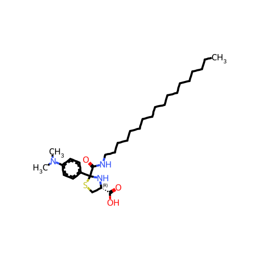 CCCCCCCCCCCCCCCCCCNC(=O)C1(c2ccc(N(C)C)cc2)N[C@H](C(=O)O)CS1